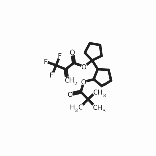 C=C(C(=O)OC1(C2CCCC2OC(=O)C(C)(C)C)CCCC1)C(F)(F)F